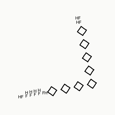 C1CCC1.C1CCC1.C1CCC1.C1CCC1.C1CCC1.C1CCC1.C1CCC1.C1CCC1.F.F.F.F.F.F.F.F